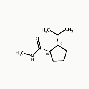 CNC(=O)[C@H]1CCC[C@H]1C(C)C